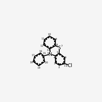 Clc1ccc2c(c1)Sc1ccccc1N2c1ccccc1